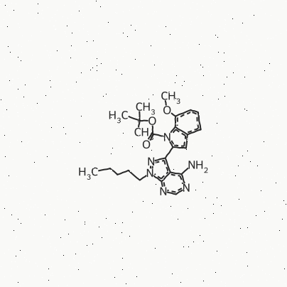 CCCCCn1nc(-c2cc3cccc(OC)c3n2C(=O)OC(C)(C)C)c2c(N)ncnc21